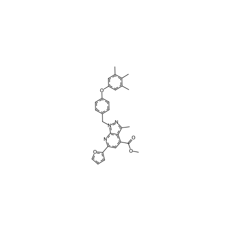 COC(=O)c1cc(-c2ccco2)nc2c1c(C)nn2Cc1ccc(Oc2cc(C)c(C)c(C)c2)cc1